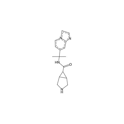 CC(C)(NC(=O)C1C2CNCC21)c1ccn2ccnc2c1